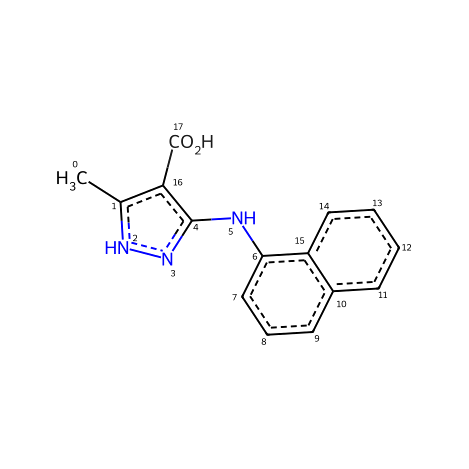 Cc1[nH]nc(Nc2cccc3ccccc23)c1C(=O)O